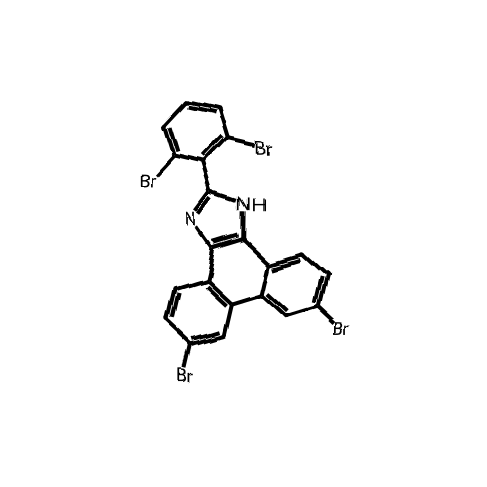 Brc1ccc2c(c1)c1cc(Br)ccc1c1[nH]c(-c3c(Br)cccc3Br)nc21